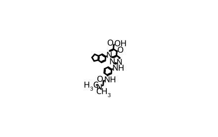 CN(C)CC(=O)Nc1cccc(Nc2ncc3c(=O)c(C(=O)O)cn(-c4ccc5c(c4)CCC5)c3n2)c1